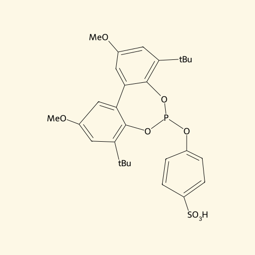 COc1cc(C(C)(C)C)c2op(Oc3ccc(S(=O)(=O)O)cc3)oc3c(C(C)(C)C)cc(OC)cc3c2c1